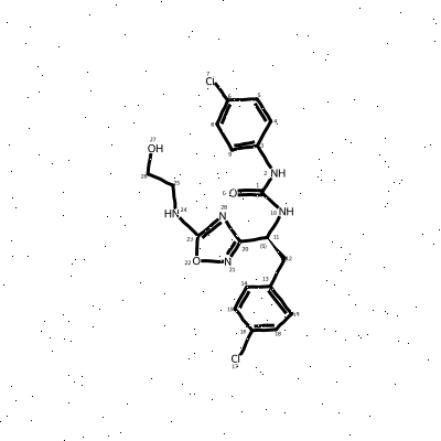 O=C(Nc1ccc(Cl)cc1)N[C@@H](Cc1ccc(Cl)cc1)c1noc(NCCO)n1